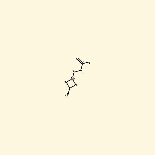 C=C(C)CCN1CC(F)C1